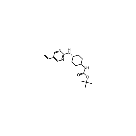 C=Cc1cnc(N[C@H]2CC[C@H](NC(=O)OC(C)(C)C)CC2)nc1